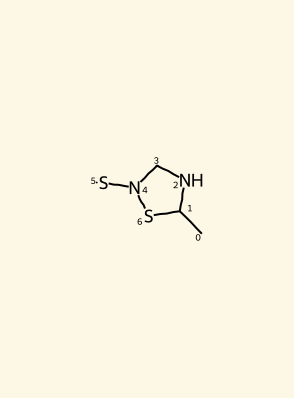 CC1NCN([S])S1